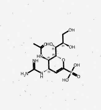 CC(=O)N[C@H]1[C@H]([C@H](O)[C@H](O)CO)OC(P(=O)(O)O)=C[C@@H]1NC(=N)N